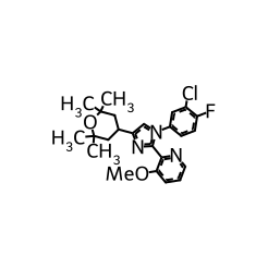 COc1cccnc1-c1nc(C2CC(C)(C)OC(C)(C)C2)cn1-c1ccc(F)c(Cl)c1